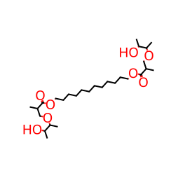 CC(COC(C)C(C)O)C(=O)OCCCCCCCCCCCCOC(=O)C(C)COC(C)C(C)O